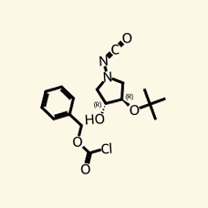 CC(C)(C)O[C@@H]1CN(N=C=O)C[C@H]1O.O=C(Cl)OCc1ccccc1